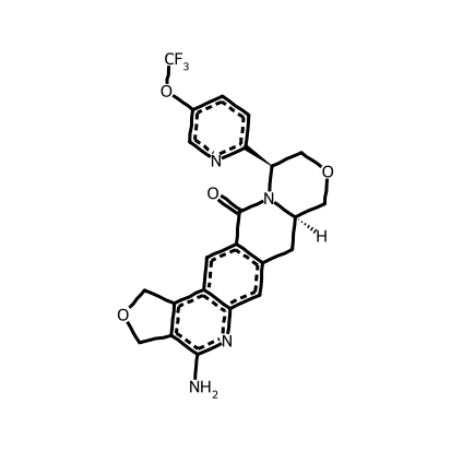 Nc1nc2cc3c(cc2c2c1COC2)C(=O)N1[C@@H](COC[C@@H]1c1ccc(OC(F)(F)F)cn1)C3